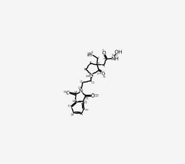 CC(C)CC1(CC(=O)NO)CCN(CCN2C(=O)c3ccccc3C2=O)C1=O